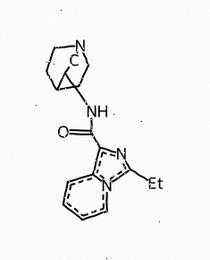 CCc1nc(C(=O)NC2CN3CCC2CC3)c2ccccn12